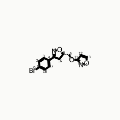 Brc1ccc(C2=NO[C@H](COc3ccon3)C2)cc1